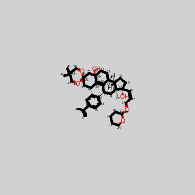 C=C(C)c1ccc([C@H]2C[C@@]3(C)[C@@H](CC[C@@]3(O)/C=C\COC3CCCCO3)[C@@H]3CC[C@@]4(O)CC5(CCC4=C32)OCC(C)(C)CO5)cc1